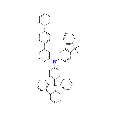 CC1(C)C2=C(CC(N(C3=CC(C4=CC=C(C5C=CC=CC5)CC4)CCC3)C3=CC=C(C4(C5=CCCCC5)C5=C(C=CCC5)C5C=CC=CC54)CC3)C=C2)C2=C1CCC=C2